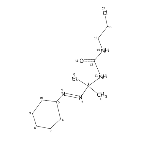 CCC(C)(N=NC1CCCCC1)NC(=O)NCCCl